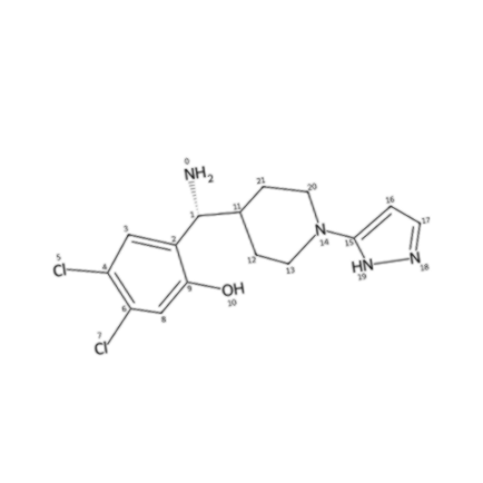 N[C@@H](c1cc(Cl)c(Cl)cc1O)C1CCN(c2ccn[nH]2)CC1